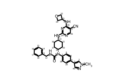 Cn1cc(-c2ccc(N(C(=O)NCc3ccccc3)[C@H]3CC[C@H](Nc4ncc(C#N)c(NC5COC5)n4)CC3)cc2)cn1